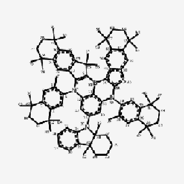 Cc1cc2c(cc1N1C3=C(B4c5c1cc(N1c6ccccc6C6(C)CCCCC16C)cc5N(c1cc5c(cc1C)C(C)(C)CCC5(C)C)c1sc5cc6c(cc5c14)C(C)(C)CCC6(C)C)C(C)(C)c1cc4c(cc13)C(C)(C)CCC4(C)C)C(C)(C)CCC2(C)C